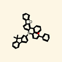 CC1(C)c2ccccc2-c2ccc(N(c3ccc(-c4ccccc4)cc3)c3ccc4c(oc5ccccc54)c3-c3ccccc3)cc21